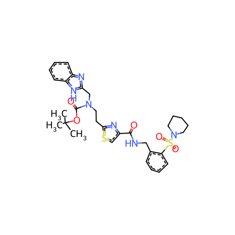 CC(C)(C)OC(=O)N(CCc1nc(C(=O)NCc2ccccc2S(=O)(=O)N2CCCCC2)cs1)Cc1nc2ccccc2[nH]1